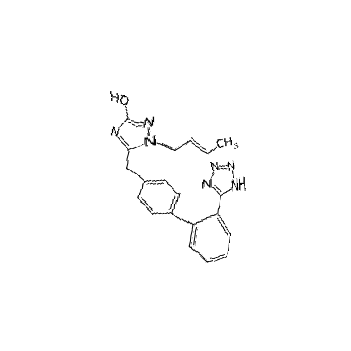 CC=CCn1nc(O)nc1Cc1ccc(-c2ccccc2-c2nnn[nH]2)cc1